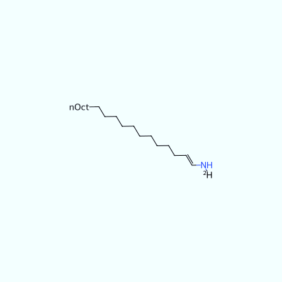 [2H]NC=CCCCCCCCCCCCCCCCCCC